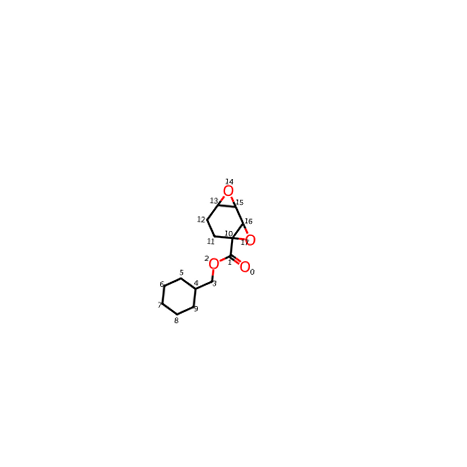 O=C(OCC1CCCCC1)C12CCC3OC3C1O2